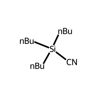 CCCC[Si](C#N)(CCCC)CCCC